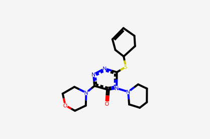 O=c1c(N2CCOCC2)nnc(SC2CC=CCC2)n1N1CCCCC1